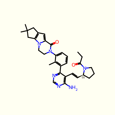 CCC(=O)N1CCC[C@H]1C=Cc1c(N)ncnc1-c1cccc(N2CCn3c(cc4c3CC(C)(C)C4)C2=O)c1C